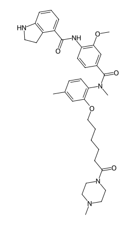 COc1cc(C(=O)N(C)c2ccc(C)cc2OCCCCCC(=O)N2CCN(C)CC2)ccc1NC(=O)c1cccc2c1CCN2